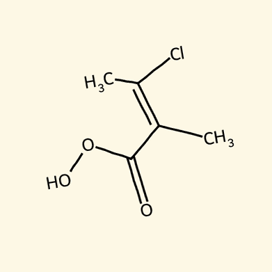 CC(Cl)=C(C)C(=O)OO